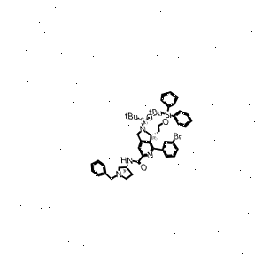 CC(C)(C)[S@@+]([O-])N1Cc2cc(C(=O)N[C@@H]3CCN(Cc4ccccc4)C3)nc(-c3cccc(Br)c3)c2[C@H]1CCO[Si](c1ccccc1)(c1ccccc1)C(C)(C)C